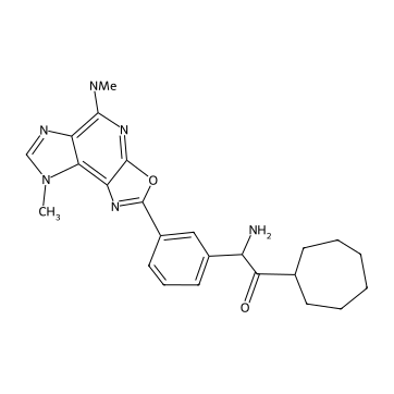 CNc1nc2oc(-c3cccc(C(N)C(=O)C4CCCCCC4)c3)nc2c2c1ncn2C